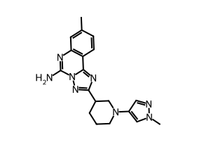 Cc1ccc2c(c1)nc(N)n1nc(C3CCCN(c4cnn(C)c4)C3)nc21